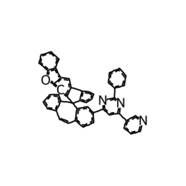 C1=Cc2ccc(-c3cc(-c4cccnc4)nc(-c4ccccc4)n3)cc2C2(c3ccccc31)c1ccccc1-c1cc3c(cc12)oc1ccccc13